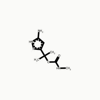 CNC(=O)OC(C)(C)c1cc(N)[nH]n1